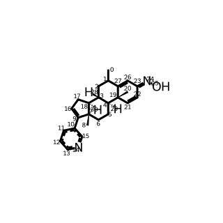 CC1C[C@@H]2[C@H](CC[C@]3(C)C(c4cccnc4)=CC[C@@H]23)[C@@]2(C)C=CC(=NO)C=C12